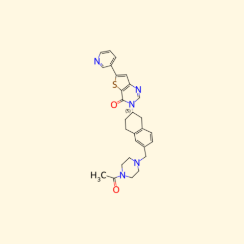 CC(=O)N1CCN(Cc2ccc3c(c2)CC[C@H](n2cnc4cc(-c5cccnc5)sc4c2=O)C3)CC1